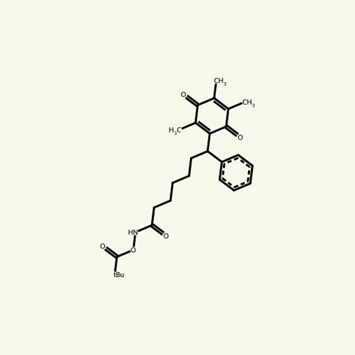 CC1=C(C)C(=O)C(C(CCCCCC(=O)NOC(=O)C(C)(C)C)c2ccccc2)=C(C)C1=O